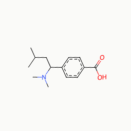 CC(C)CC(c1ccc(C(=O)O)cc1)N(C)C